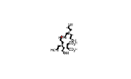 O=C(O)/C=C\C(=O)O.OCCN(CCO)CCO.OCCN(CCO)CCO